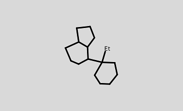 CCC1(C2CCCC3CCCC32)CCCCC1